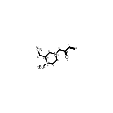 C=CC(=O)CN1CCN(C(C)(C)C)[C@@H](CC#N)C1